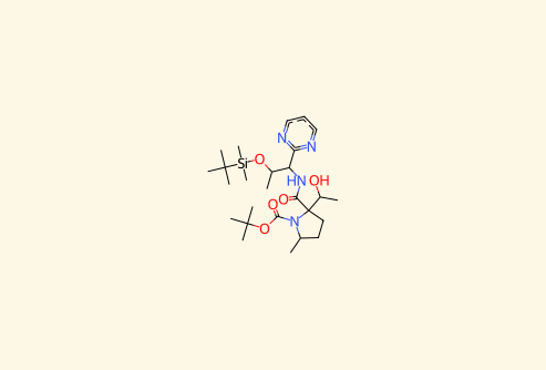 CC(O[Si](C)(C)C(C)(C)C)C(NC(=O)C1(C(C)O)CCC(C)N1C(=O)OC(C)(C)C)c1ncccn1